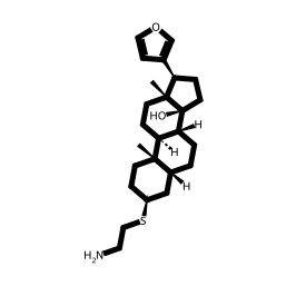 C[C@]12CC[C@H](SCCN)C[C@H]1CC[C@@H]1[C@@H]2CC[C@]2(C)[C@@H](c3ccoc3)CC[C@]12O